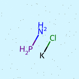 NP.[Cl][K]